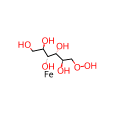 OC[C@@H](O)[C@@H](O)[C@H](O)[C@H](O)COO.[Fe]